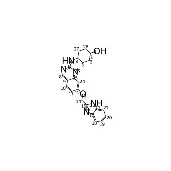 OC1CCC(Nc2ncc3ccc(OCc4nc5ccccc5[nH]4)cc3n2)CC1